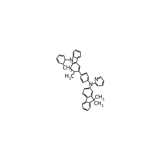 CC1Cc2c(c3ccccc3n2C2C=CC=CC2C)C=C1c1ccc(N(c2ccc3c(c2)C(C)(C)c2ccccc2-3)c2ccccn2)cc1